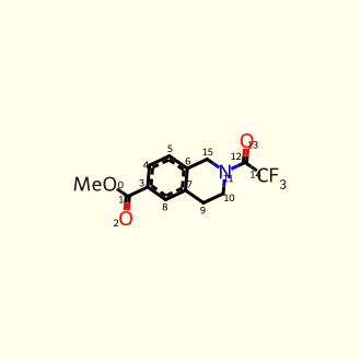 COC(=O)c1ccc2c(c1)CCN(C(=O)C(F)(F)F)C2